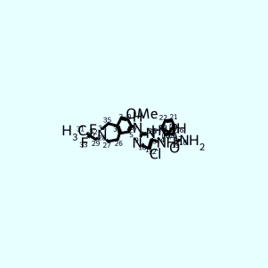 COc1cc2c(cc1Nc1ncc(Cl)c(N[C@H]3[C@@H](C(N)=O)[C@@H]4C=C[C@H]3C4)n1)CCN(CC(C)(F)F)CC2